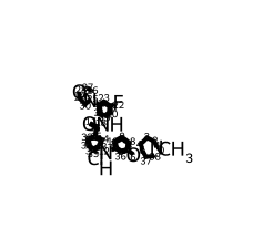 CN1CCCC(Oc2cccc(Nc3cc(C(=O)Nc4cc(F)cc(N5CCOCC5)c4)ccc3Cl)c2)CC1